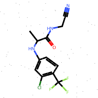 CC(Nc1ccc(C(F)(F)F)c(Cl)c1)C(=O)NCC#N